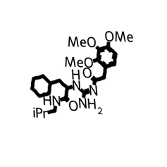 COc1ccc(CC(=O)N=C(N)NC(CC2CCCCC2)C(=O)NCC(C)C)c(OC)c1OC